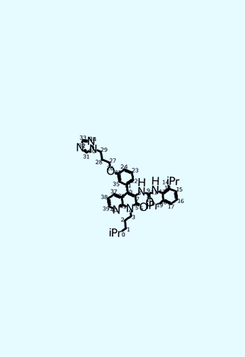 CC(C)CCCn1c(=O)c(NC(=O)Nc2c(C(C)C)cccc2C(C)C)c(-c2cccc(OCCCn3cncn3)c2)c2cccnc21